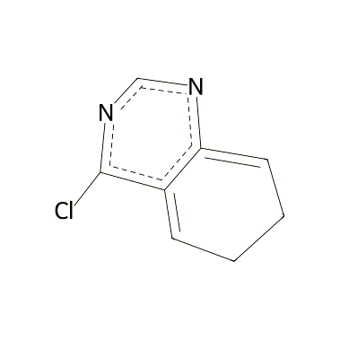 Clc1ncnc2c1=CCCC=2